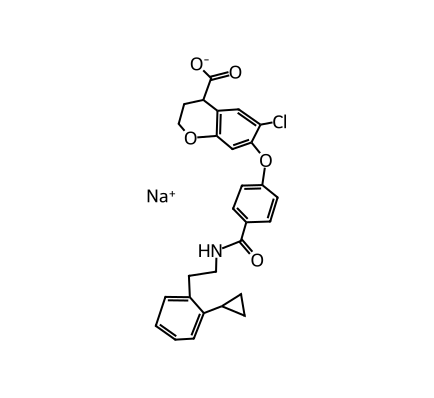 O=C(NCCc1ccccc1C1CC1)c1ccc(Oc2cc3c(cc2Cl)C(C(=O)[O-])CCO3)cc1.[Na+]